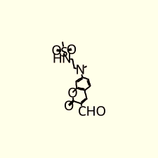 CN(CCNS(C)(=O)=O)c1ccc2cc(C=O)c(=O)oc2c1